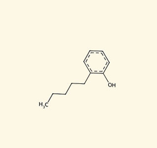 CCCCCc1ccccc1O